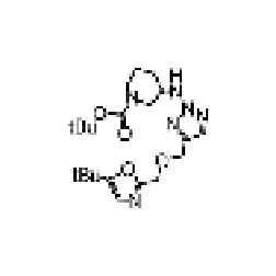 CC(C)(C)OC(=O)N1CCC[C@@H](Nn2ncc(COCc3ncc(C(C)(C)C)o3)n2)C1